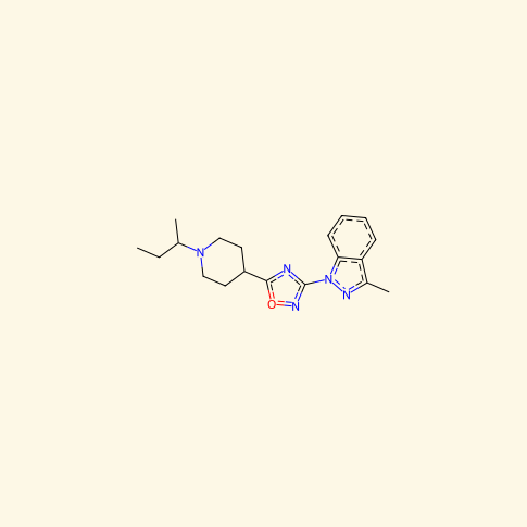 CCC(C)N1CCC(c2nc(-n3nc(C)c4ccccc43)no2)CC1